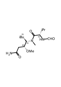 CC[C@H](C)[C@@H]([C@@H](CC(N)=O)OC)N(C)C(=O)[C@@H](NC=O)C(C)C